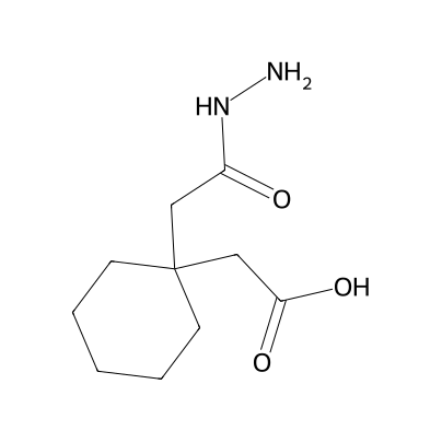 NNC(=O)CC1(CC(=O)O)CCCCC1